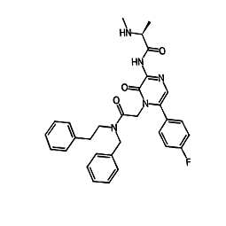 CN[C@@H](C)C(=O)Nc1ncc(-c2ccc(F)cc2)n(CC(=O)N(CCc2ccccc2)Cc2ccccc2)c1=O